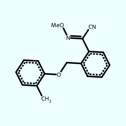 CON=C(C#N)c1ccccc1COc1ccccc1C